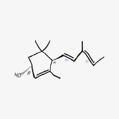 C/C=C(C)/C=C/[C@H]1C(C)=C[C@H](O)CC1(C)C